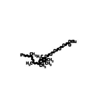 Cc1c(C)c2c(c(C)c1OCCOCCOCCOCCOCCC(=O)OC(C)(C)C)CC[C@@](C)(CCCC(C)CCCC(C)CCCC(C)C)O2